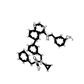 Cc1cccc(CNc2ncnc3ccc(-c4cccc(CN(C5CC5)S(=O)(=O)Cc5ccccc5)c4)cc23)c1